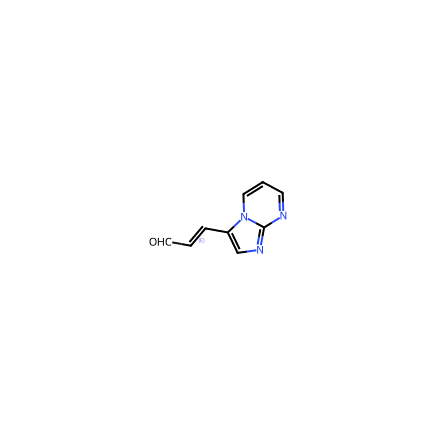 O=C/C=C/c1cnc2ncccn12